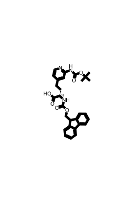 CC(C)(C)OC(=O)Nc1cc(CC[C@H](NC(=O)OCC2c3ccccc3-c3ccccc32)C(=O)O)ccn1